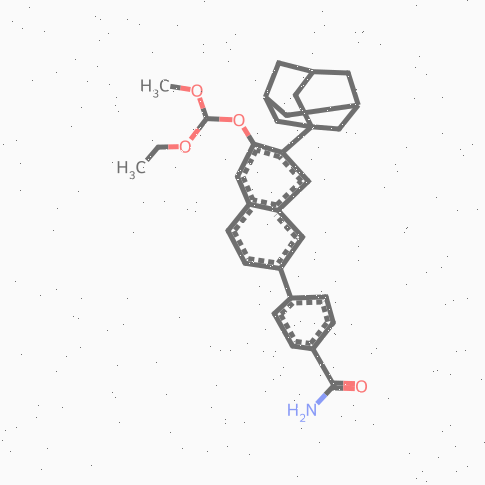 CCOC(OC)Oc1cc2ccc(-c3ccc(C(N)=O)cc3)cc2cc1C12CC3CC(CC(C3)C1)C2